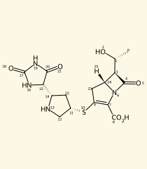 C[C@@H](O)[C@H]1C(=O)N2C(C(=O)O)=C(S[C@@H]3CN[C@H](C4NC(=O)NC4=O)C3)C[C@H]12